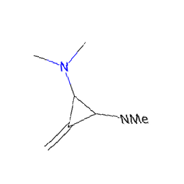 C=C1C(NC)C1N(C)C